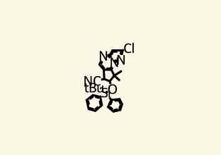 CC1(C)c2c(cnc3cc(Cl)nn23)C(C#N)C1O[Si](c1ccccc1)(c1ccccc1)C(C)(C)C